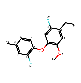 CCc1cc(OC)c(Oc2ccc(C)cc2F)cc1F